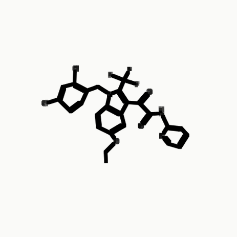 CCOc1ccc2c(c1)c(C(=O)C(=O)Nc1ccccn1)c(C(F)(F)F)n2Cc1ccc(Cl)cc1Cl